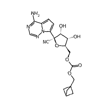 N#C[C@@]1(c2ccc3c(N)ncnn23)O[C@H](COC(=O)OCC23CC(C2)C3)[C@@H](O)[C@H]1O